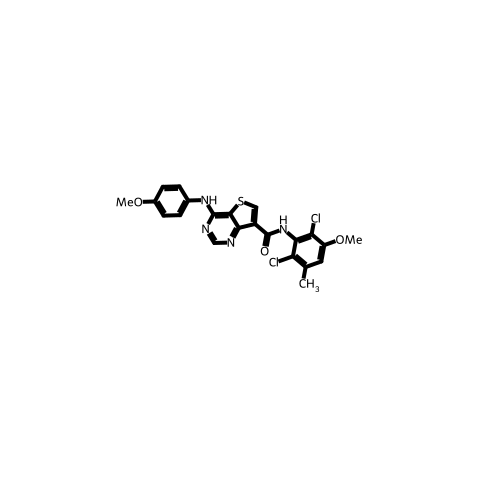 COc1ccc(Nc2ncnc3c(C(=O)Nc4c(Cl)c(C)cc(OC)c4Cl)csc23)cc1